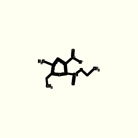 CCO[PH](=O)c1cc(CC)c(C)cc1[N+](=O)[O-]